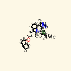 CCOC(=O)c1c(CCCOc2cccc3ccccc23)c2cccc(-c3c(C)nn(C)c3CBr)c2n1CCCNC